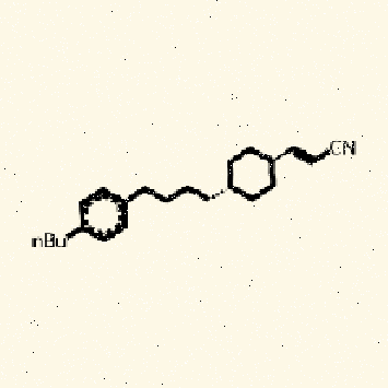 CCCCc1ccc(CCCC[C@H]2CC[C@H](/C=C/C#N)CC2)cc1